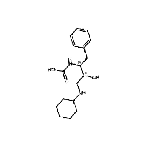 O=C(O)N[C@@H](Cc1ccccc1)[C@H](O)CNC1CCCCC1